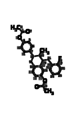 CC(=O)Oc1ccc(C2Cc3ccc(OC(C)=O)cc3C(Cc3ccccc3F)C2C)cc1